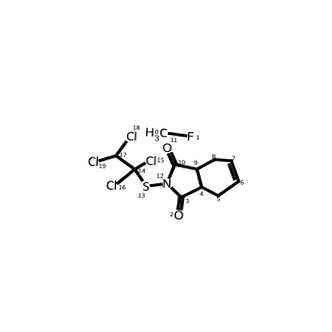 CF.O=C1C2CC=CCC2C(=O)N1SC(Cl)(Cl)C(Cl)Cl